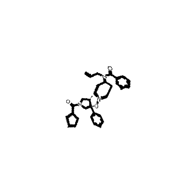 C=CCN(C(=O)c1ccccc1)C1CCN(O[C@]2(c3ccccc3)CN(C(=O)C3CCCC3)C[C@@H]2C)CC1